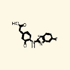 O=C(O)Cc1ccc(Nc2nc3cc(F)ccc3s2)c(Cl)c1